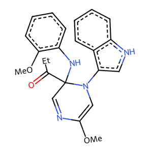 CCC(=O)C1(Nc2ccccc2OC)C=NC(OC)=CN1c1c[nH]c2ccccc12